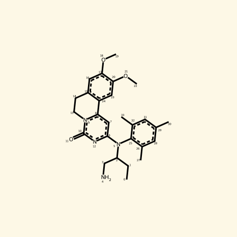 CCC(CN)N(c1cc2n(c(=O)n1)CCc1cc(OC)c(OC)cc1-2)c1c(C)cc(C)cc1C